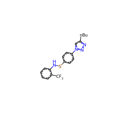 CCCCc1cn(-c2ccc(SNc3ccccc3C(F)(F)F)cc2)nn1